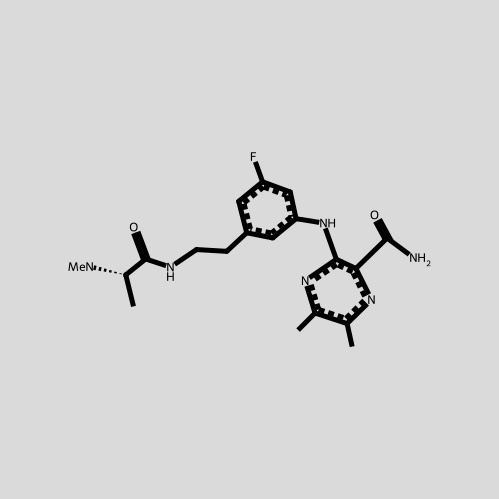 CN[C@@H](C)C(=O)NCCc1cc(F)cc(Nc2nc(C)c(C)nc2C(N)=O)c1